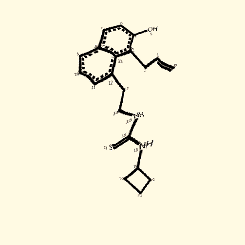 C=CCc1c(O)ccc2cccc(CCNC(=S)NC3CCC3)c12